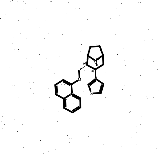 CN1C2CCC1[C@@H](COc1cccc3ccccc13)[C@H](c1ccsc1)C2